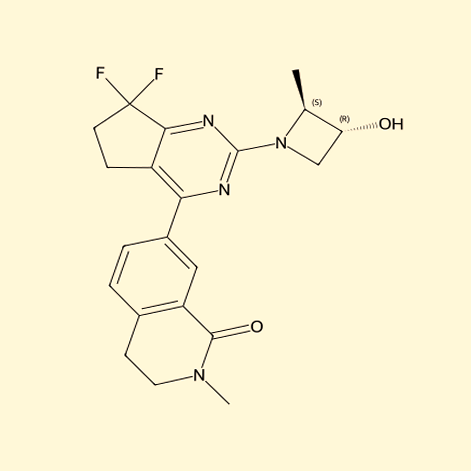 C[C@H]1[C@H](O)CN1c1nc(-c2ccc3c(c2)C(=O)N(C)CC3)c2c(n1)C(F)(F)CC2